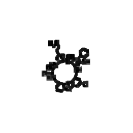 CC(C)C1NCc2cccnc2Sc2c(Cl)cc(Cl)cc2CNC(=O)[C@H](Cc2c[nH]c3ccccc23)N(C)C(=O)[C@H](CCCCN)NC1=O